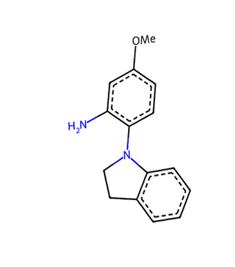 COc1ccc(N2CCc3ccccc32)c(N)c1